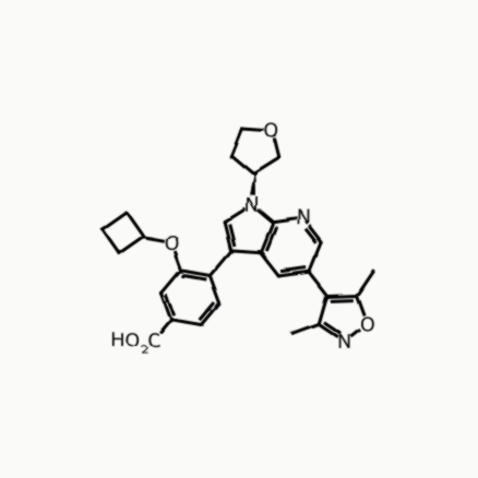 Cc1noc(C)c1-c1cnc2c(c1)c(-c1ccc(C(=O)O)cc1OC1CCC1)cn2[C@H]1CCOC1